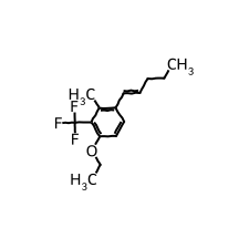 CCC/C=C/c1ccc(OCC)c(C(F)(F)F)c1C